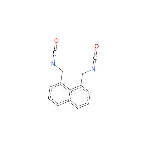 O=C=NCc1cccc2cccc(CN=C=O)c12